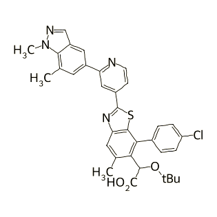 Cc1cc2nc(-c3ccnc(-c4cc(C)c5c(cnn5C)c4)c3)sc2c(-c2ccc(Cl)cc2)c1C(OC(C)(C)C)C(=O)O